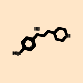 Cl.O=C(O)c1ccc(CCCC2CCNCC2)cc1